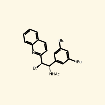 CC[C@@H](c1ccc2ccccc2n1)[C@@H](NC(C)=O)c1cc(C(C)(C)C)cc(C(C)(C)C)c1